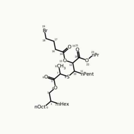 CCCCCCCCC(CCCCCC)COC(=O)C(C)SC(CCCCC)C(OC(=O)CCCBr)C(=O)OCCC